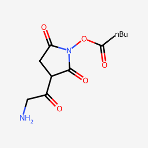 CCCCC(=O)ON1C(=O)CC(C(=O)CN)C1=O